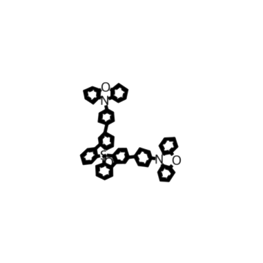 O=S12(c3ccccc3-c3cc(-c4ccc(N5c6ccccc6Oc6ccccc65)cc4)ccc31)c1ccccc1-c1cc(-c3ccc(N4c5ccccc5Oc5ccccc54)cc3)ccc12